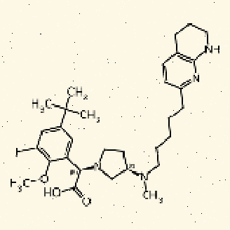 COc1c(F)cc(C(C)(C)C)cc1[C@H](C(=O)O)N1CC[C@@H](N(C)CCCCCc2ccc3c(n2)NCCC3)C1